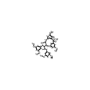 [2H]Oc1cc(CC(C)C(Cc2cc(O[2H])cc(O[2H])c2)C2Cc3cc(O[2H])cc(c3)C(O[2H])(O[2H])c3cc(cc(O[2H])c3)CC2CC)cc(O[2H])c1